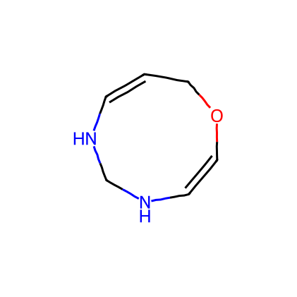 C1=C\NCN/C=C\OC/1